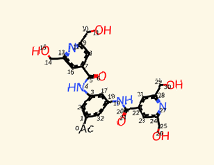 CC(=O)c1cc(NC(=O)c2cc(CO)nc(CO)c2)cc(NC(=O)c2cc(CO)nc(CO)c2)c1